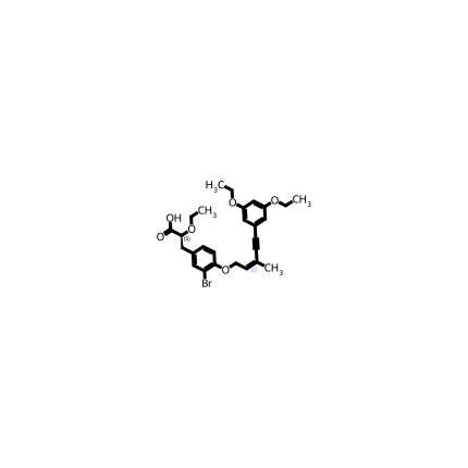 CCOc1cc(C#C/C(C)=C\COc2ccc(C[C@H](OCC)C(=O)O)cc2Br)cc(OCC)c1